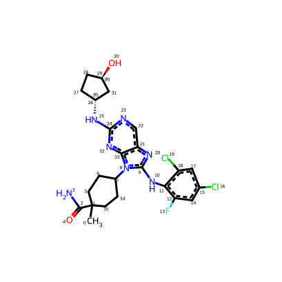 CC1(C(N)=O)CCC(n2c(Nc3c(F)cc(Cl)cc3Cl)nc3cnc(N[C@@H]4CC[C@@H](O)C4)nc32)CC1